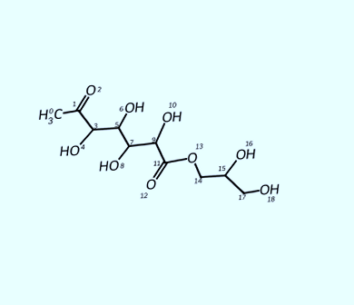 CC(=O)C(O)C(O)C(O)C(O)C(=O)OCC(O)CO